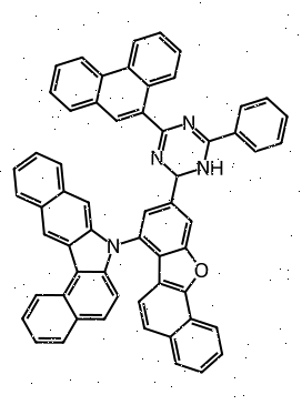 c1ccc(C2=NC(c3cc4ccccc4c4ccccc34)=NC(c3cc(-n4c5cc6ccccc6cc5c5c6ccccc6ccc54)c4c(c3)oc3c5ccccc5ccc34)N2)cc1